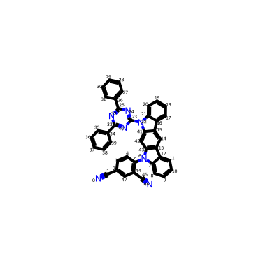 N#Cc1ccc(-n2c3ccccc3c3cc4c5ccccc5n(-c5nc(-c6ccccc6)nc(-c6ccccc6)n5)c4cc32)c(C#N)c1